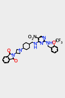 O=C1c2ccccc2C(=O)N1C1CN(C2CCC(CNc3nc(NCc4ccccc4OC(F)(F)F)ncc3[N+](=O)[O-])CC2)C1